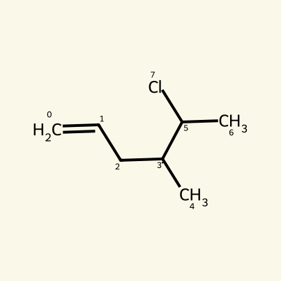 C=CC[C](C)C(C)Cl